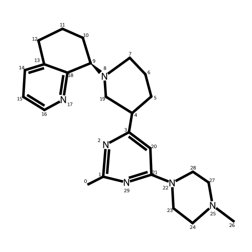 Cc1nc(C2CCCN([C@@H]3CCCc4cccnc43)C2)cc(N2CCN(C)CC2)n1